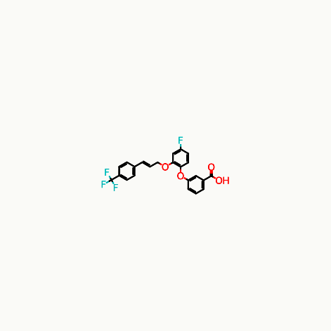 O=C(O)c1cccc(Oc2ccc(F)cc2OCC=Cc2ccc(C(F)(F)F)cc2)c1